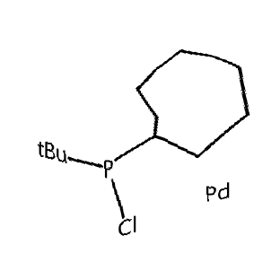 CC(C)(C)P(Cl)C1CCCCC1.[Pd]